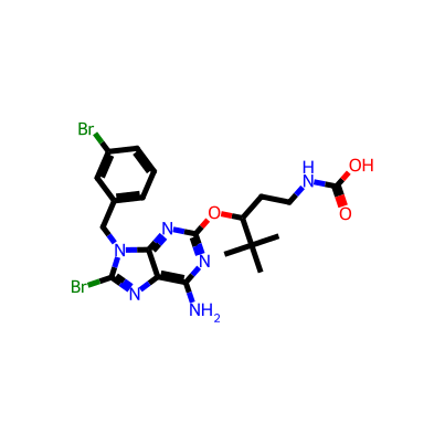 CC(C)(C)C(CCNC(=O)O)Oc1nc(N)c2nc(Br)n(Cc3cccc(Br)c3)c2n1